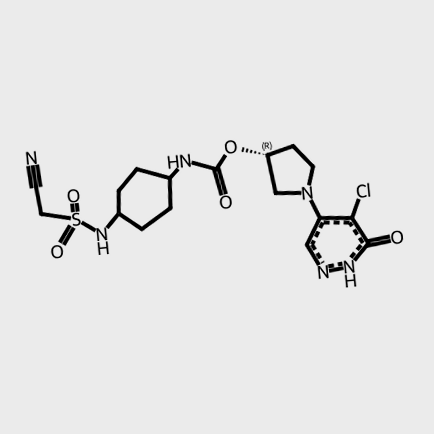 N#CCS(=O)(=O)NC1CCC(NC(=O)O[C@@H]2CCN(c3cn[nH]c(=O)c3Cl)C2)CC1